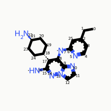 CCc1ccnc([N]c2c3nccn3nc([NH])c2[C@H]2CC[C@H](N)CC2)c1